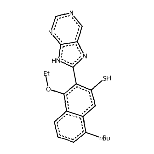 CCCCc1cccc2c(OCC)c(-c3nc4cncnc4[nH]3)c(S)cc12